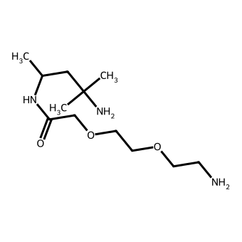 CC(CC(C)(C)N)NC(=O)COCCOCCN